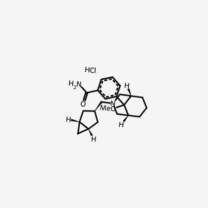 COC1(c2cccc(C(N)=O)c2)[C@@H]2CCC[C@H]1CN(C[C@H]1C[C@@H]3C[C@@H]3C1)C2.Cl